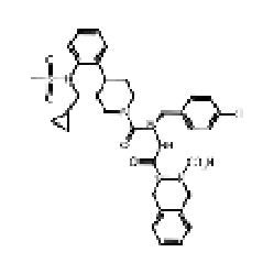 CS(=O)(=O)N(CC1CC1)c1ccccc1C1CCN(C(=O)[C@@H](Cc2ccc(Cl)cc2)NC(=O)[C@@H]2Cc3ccccc3CN2C(=O)O)CC1